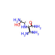 NC(=O)C(NCC(N)O)=C(N)N